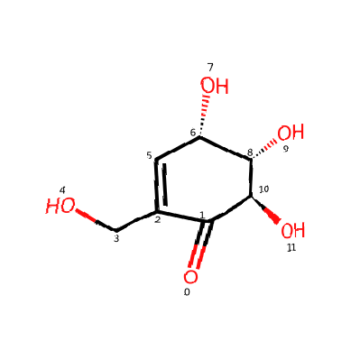 O=C1C(CO)=C[C@H](O)[C@H](O)[C@H]1O